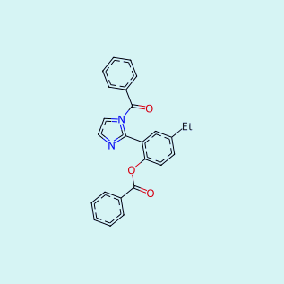 CCc1ccc(OC(=O)c2ccccc2)c(-c2nccn2C(=O)c2ccccc2)c1